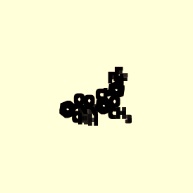 Cc1cc(NC(=O)NC(=O)c2ccccc2Cl)ccc1Oc1ccc(C(F)(F)F)cc1Cl